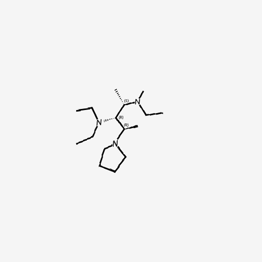 CCN(C)[C@@H](C)[C@H]([C@@H](C)N1CCCC1)N(CC)CC